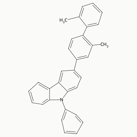 Cc1ccccc1-c1ccc(-c2ccc3c(c2)c2ccccc2n3-c2ccccc2)cc1C